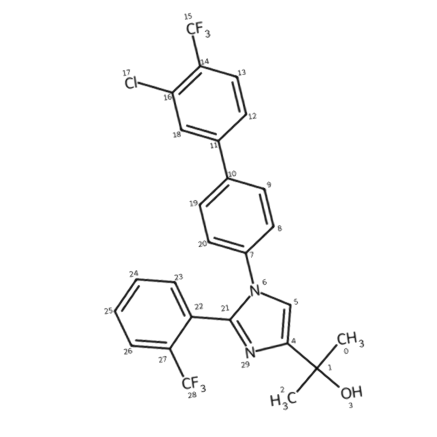 CC(C)(O)c1cn(-c2ccc(-c3ccc(C(F)(F)F)c(Cl)c3)cc2)c(-c2ccccc2C(F)(F)F)n1